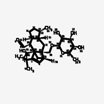 CC(C)C1=C[C@@H]2C[C@@]3(C=O)[C@H]4CC[C@H](C)[C@@H]4C[C@]2(CO[C@@H]2O[C@H](C)[C@@H](O)[C@@H](O)[C@@H]2O)[C@@]13C(=O)O